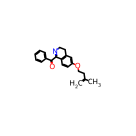 C=C(C)CCOc1ccc2c(c1)CCN=C2C(=O)c1ccccc1